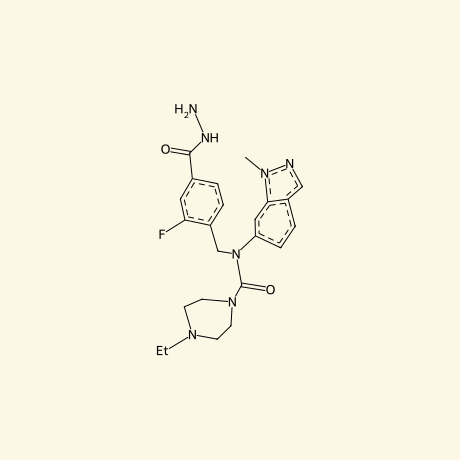 CCN1CCN(C(=O)N(Cc2ccc(C(=O)NN)cc2F)c2ccc3cnn(C)c3c2)CC1